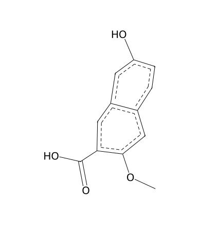 COc1cc2ccc(O)cc2cc1C(=O)O